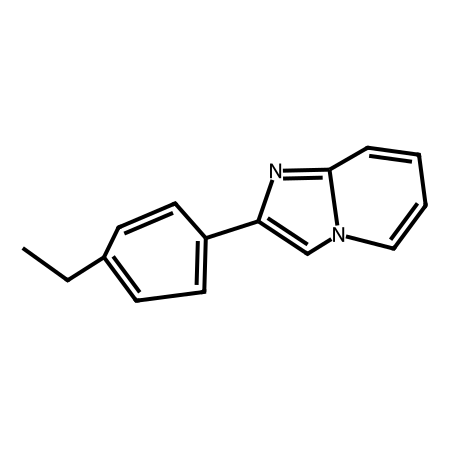 CCc1ccc(-c2cn3ccccc3n2)cc1